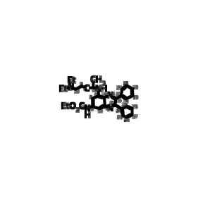 CCOC(=O)Nc1cc(NC(C)CCCN(CC)CC)c2nc(-c3ccccc3)c(-c3ccccc3)nc2c1